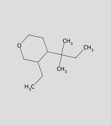 CCC1COCCC1C(C)(C)CC